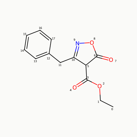 CCOC(=O)C1C(=O)ON=C1Cc1ccccc1